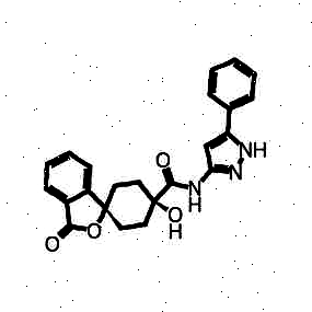 O=C1O[C@]2(CC[C@@](O)(C(=O)Nc3cc(-c4ccccc4)[nH]n3)CC2)c2ccccc21